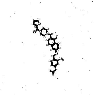 COc1cc(CC(C)C)ccc1COc1ccc2c(c1)CCC(CN1CCN(C(=O)c3ccco3)CC1)=C2C